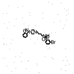 O=S(=O)(NCCCCN1CCN(c2noc3ccccc23)CC1)c1cccc(Br)c1